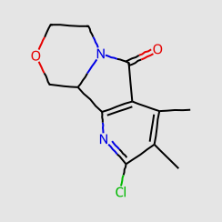 Cc1c(Cl)nc2c(c1C)C(=O)N1CCOCC21